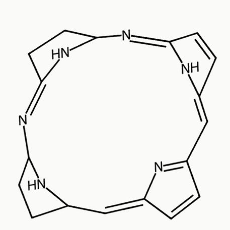 C1=CC2=NC1=CC1CCC(N=C3CCC(N=c4ccc([nH]4)=C2)N3)N1